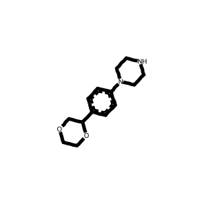 c1cc(N2CCNCC2)ccc1C1COCCO1